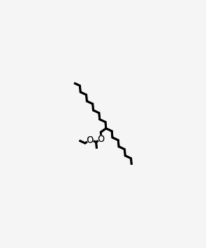 CCCCCCCCCCC(CCCCCCCC)COC(C)OCC